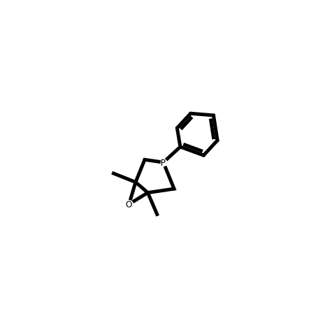 CC12CP(c3ccccc3)CC1(C)O2